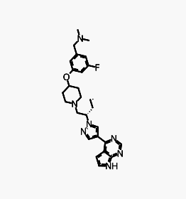 [CH2]C[C@@H](CN1CCC(Oc2cc(F)cc(CN(C)C)c2)CC1)n1cc(-c2ncnc3[nH]ccc23)cn1